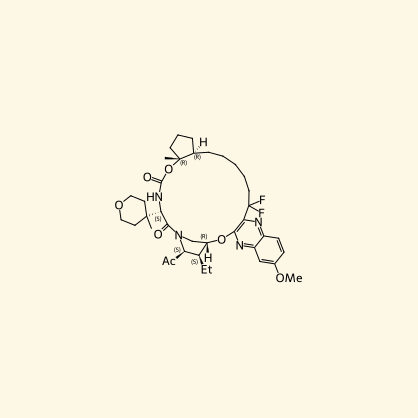 CC[C@@H]1[C@@H]2CN(C(=O)[C@H](C3(C)CCOCC3)NC(=O)O[C@]3(C)CCC[C@H]3CCCCCC(F)(F)c3nc4ccc(OC)cc4nc3O2)[C@@H]1C(C)=O